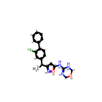 CC(c1ccc(-c2ccccc2)c(F)c1)c1cc(NC2=NCOCN2)on1